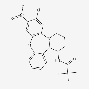 O=C(NC1CCCN2c3cc(Cl)c([N+](=O)[O-])cc3Oc3ccccc3C12)C(F)(F)F